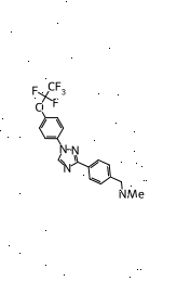 CNCc1ccc(-c2ncn(-c3ccc(OC(F)(F)C(F)(F)F)cc3)n2)cc1